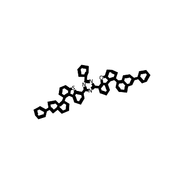 c1ccc(-c2ccc3c(-c4cccc5oc6c(-c7nc(-c8ccccc8)nc(-c8cccc9c8sc8cccc(-c%10cccc%11cc(-c%12ccccc%12)ccc%10%11)c89)n7)cccc6c45)cccc3c2)cc1